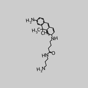 CC1(C)C2=CC(NCCCC(=O)NCCCN)C=CC2=Cc2ccc(N)cc21